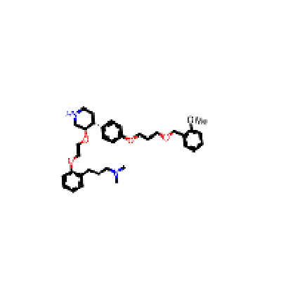 COc1ccccc1COCCCOc1ccc([C@H]2CCNC[C@@H]2OCCOc2ccccc2CCCN(C)C)cc1